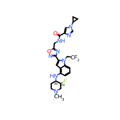 CN1CC[C@@H](Nc2cccc3c2cc(-c2noc(CNC(=O)c4cn(C5CC5)cn4)n2)n3CC(F)(F)F)[C@@H](F)C1